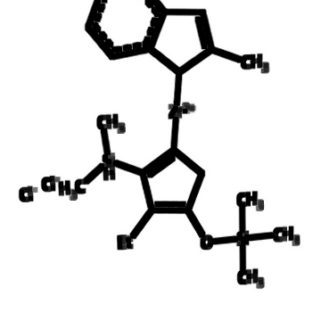 CCC1=C(O[Si](C)(C)C)C[C]([Zr+2][CH]2C(C)=Cc3ccccc32)=C1[SiH](C)C.[Cl-].[Cl-]